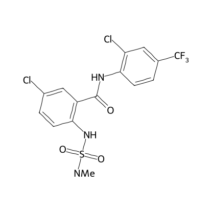 CNS(=O)(=O)Nc1ccc(Cl)cc1C(=O)Nc1ccc(C(F)(F)F)cc1Cl